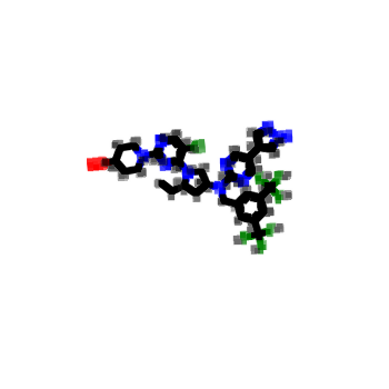 CC[C@@H]1C[C@H](N(Cc2cc(C(F)(F)F)cc(C(F)(F)F)c2)c2ncc(-c3cn[nH]c3)cn2)CN1c1nc(N2CCC(O)CC2)ncc1Cl